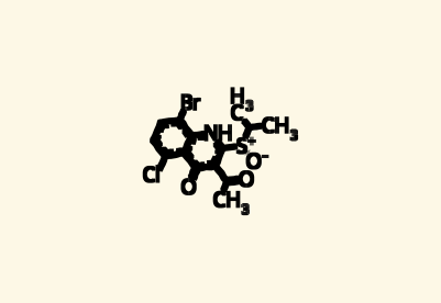 CC(=O)c1c([S+]([O-])C(C)C)[nH]c2c(Br)ccc(Cl)c2c1=O